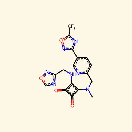 CN(Cc1ccc(-c2noc(C(F)(F)F)n2)cn1)c1c(NCc2ncon2)c(=O)c1=O